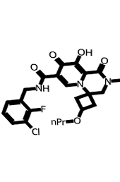 CCCOC1CC2(C1)CN(C)C(=O)c1c(O)c(=O)c(C(=O)NCc3cccc(Cl)c3F)cn12